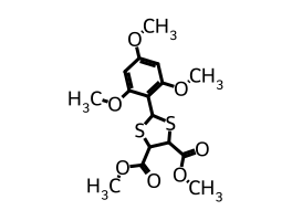 COC(=O)C1SC(c2c(OC)cc(OC)cc2OC)SC1C(=O)OC